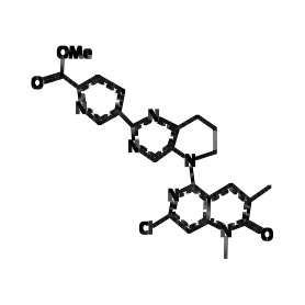 COC(=O)c1ccc(-c2ncc3c(n2)CCCN3c2nc(Cl)cc3c2cc(C)c(=O)n3C)cn1